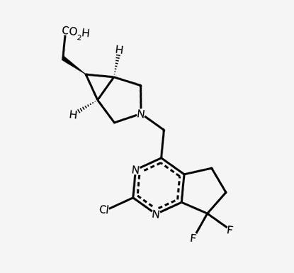 O=C(O)C[C@H]1[C@H]2CN(Cc3nc(Cl)nc4c3CCC4(F)F)C[C@@H]12